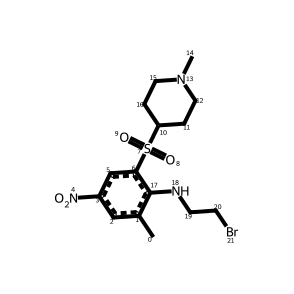 Cc1cc([N+](=O)[O-])cc(S(=O)(=O)C2CCN(C)CC2)c1NCCBr